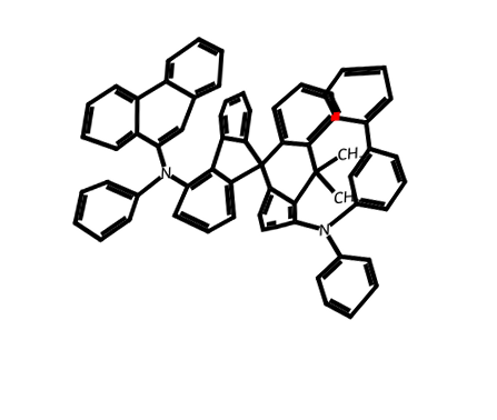 CC1(C)c2ccccc2C2(c3ccccc3-c3c(N(c4ccccc4)c4cc5ccccc5c5ccccc45)cccc32)c2cccc(N(c3ccccc3)c3cccc(-c4ccccc4)c3)c21